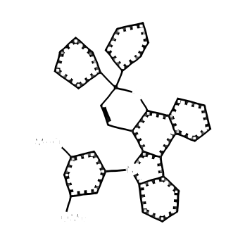 COc1cc(OC)cc(-n2c3ccccc3c3c4ccccc4c4c(c32)C=CC(c2ccccc2)(c2ccccc2)O4)c1